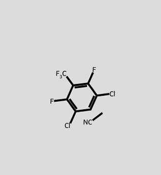 CC#N.Fc1c(Cl)cc(Cl)c(F)c1C(F)(F)F